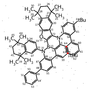 CC(C)(C)c1ccc(N2c3cc(C(C)(C)C)cc4c3B(c3oc5cc6c(cc5c32)C(C)(C)CCC6(C)C)N(c2ccc3c(c2)C(C)(C)CCC3(C)C)c2cc(-c3ccccc3)ccc2-4)c(-c2ccccc2)c1